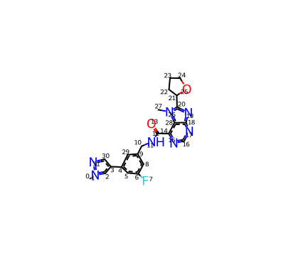 Cn1cc(-c2cc(F)cc(CNC(=O)c3ncnc4nc(C5CCCO5)n(C)c34)c2)cn1